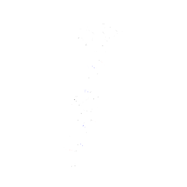 CC(C)(C)OC(=O)N[C@@H]1CCCN(C(=O)c2ccc(NCCCNC(=O)OCC3c4ccccc4-c4ccccc43)c([N+](=O)[O-])c2)C1